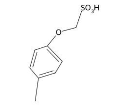 Cc1ccc(OCS(=O)(=O)O)cc1